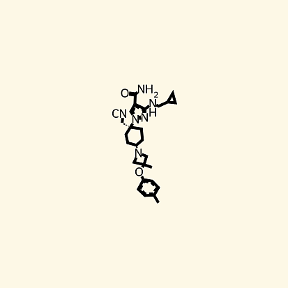 Cc1ccc(OC2(C)CN([C@H]3CC[C@](CC#N)(n4cc(C(N)=O)c(NCC5CC5)n4)CC3)C2)cc1